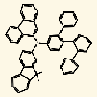 CC1(C)c2ccccc2-c2ccc(N(c3ccc(-c4ccccc4-c4ccccc4)c(-c4ccccc4)c3)c3cc4ccccc4c4ccccc34)cc21